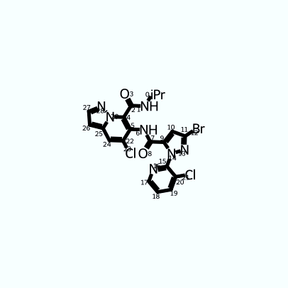 CC(C)NC(=O)c1c(NC(=O)c2cc(Br)nn2-c2ncccc2Cl)c(Cl)cc2ccnn12